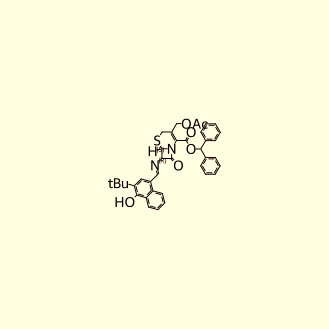 CC(=O)OCC1=C(C(=O)OC(c2ccccc2)c2ccccc2)N2C(=O)[C@@H](N=Cc3cc(C(C)(C)C)c(O)c4ccccc34)[C@@H]2SC1